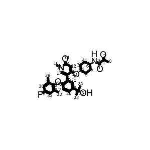 CC(=O)C(=O)N[C@H]1CC[C@H](Oc2cc(=O)n(C)cc2-c2cc(C(C)(C)O)ccc2Oc2c(C)cc(F)cc2C)CC1